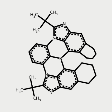 CC(C)(C)c1nc2cc3c(c4c2n1-c1cccc2c1B4c1c4c(cc5nc(C(C)(C)C)n-2c15)CCCC4)CCCC3